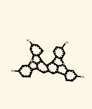 N#Cc1ccc2c3cc4cc5c6ccc(C#N)cc6n6c7cc(C#N)ccc7c(c4c4c7ccc(C#N)cc7n(c2c1)c34)c56